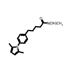 Cc1ccc(C)n1-c1ccc(CCCCC(=O)N(C)O)cc1